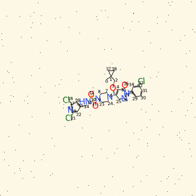 CC1(COc2c(N3CCN(S(=O)(=O)NCc4cc(Cl)nc(Cl)c4)CC3)cnn(-c3cccc(Cl)c3)c2=O)CC1